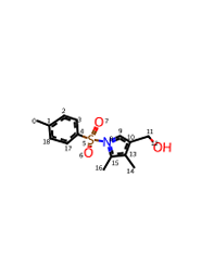 Cc1ccc(S(=O)(=O)n2cc(CO)c(C)c2C)cc1